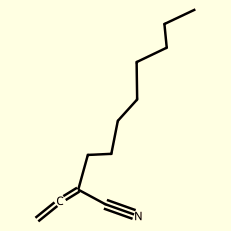 C=C=C(C#N)CCCCCCCC